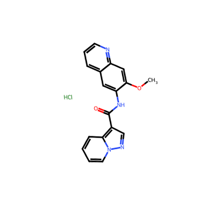 COc1cc2ncccc2cc1NC(=O)c1cnn2ccccc12.Cl